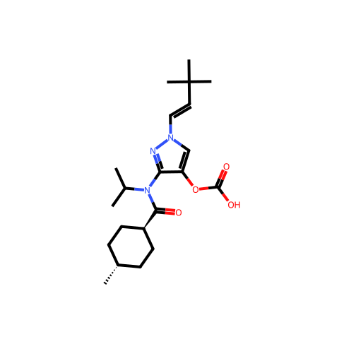 CC(C)N(c1nn(/C=C/C(C)(C)C)cc1OC(=O)O)C(=O)[C@H]1CC[C@H](C)CC1